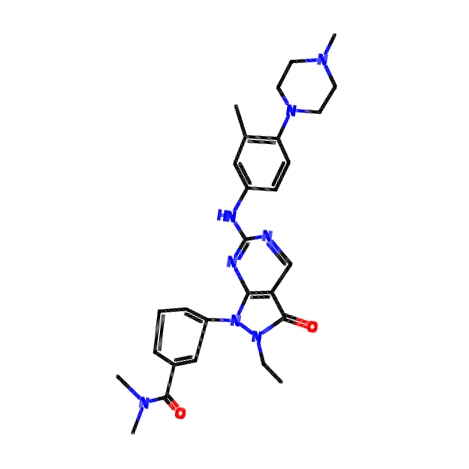 CCn1c(=O)c2cnc(Nc3ccc(N4CCN(C)CC4)c(C)c3)nc2n1-c1cccc(C(=O)N(C)C)c1